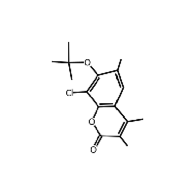 Cc1cc2c(C)c(C)c(=O)oc2c(Cl)c1OC(C)(C)C